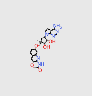 C[C@]1(COc2ccc3cc4c(nc3c2)NC(=O)CO4)C[C@@H](n2ccc3c(N)ncnc32)[C@H](O)[C@@H]1O